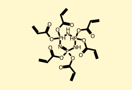 C=CC(=O)OP1(OC(=O)C=C)=N[PH](OC(=O)C=C)(OC(=O)C=C)N[PH](OC(=O)C=C)(OC(=O)C=C)N1